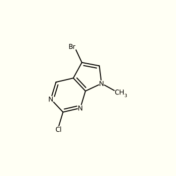 Cn1cc(Br)c2cnc(Cl)nc21